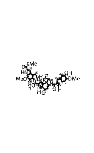 COc1cc2[nH]c(C(=O)N3C[C@@H](C)[C@@]4(C)C3=CC(=O)c3[nH]c(C(=O)N5CCc6c5c(O)c(OC)c5[nH]c(C(=O)SC)cc65)cc34)cc2cc1O